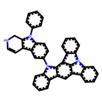 C1=Cc2c(n(-c3ccccc3)c3ccc(-n4c5ccccc5c5cc6c7ccccc7n7c8ccccc8c(c54)c67)cc23)CN1